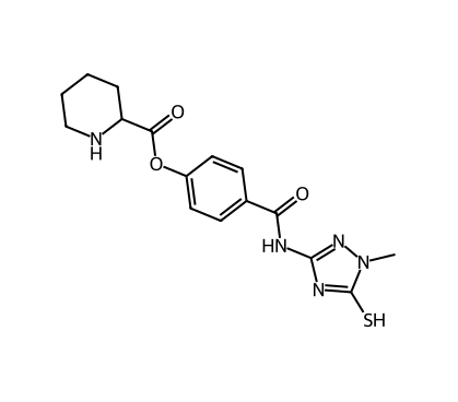 Cn1nc(NC(=O)c2ccc(OC(=O)C3CCCCN3)cc2)nc1S